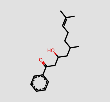 CC(C)=CCCC(C)CC(O)CC(=O)c1ccccc1